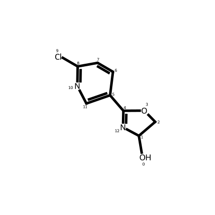 OC1COC(c2ccc(Cl)nc2)=N1